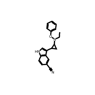 CCN(Oc1ccccc1)C1CC1c1c[nH]c2ccc(C#N)cc12